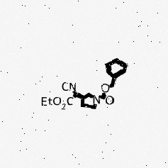 [C-]#[N+]C(C(=O)OCC)=C1CCN(C(=O)OCc2ccccc2)C1